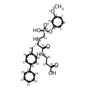 COc1cccc(OP(=O)(O)CN[C@@H](Cc2ccc(-c3ccccc3)cc2)C(=O)NCCC(=O)O)c1